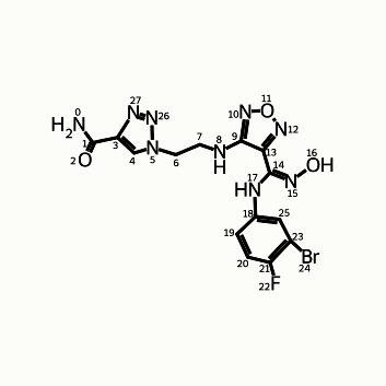 NC(=O)c1cn(CCNc2nonc2C(=NO)Nc2ccc(F)c(Br)c2)nn1